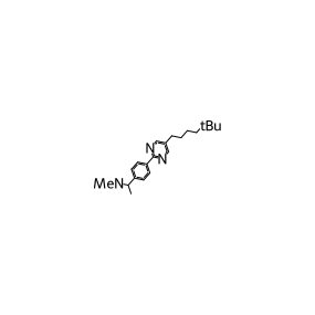 CNC(C)c1ccc(-c2ncc(CCCCC(C)(C)C)cn2)cc1